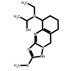 CCN(C(C)O)C1CCCC2=C1N=C1N=C(SC)NN1C2